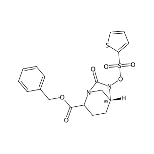 O=C(OCc1ccccc1)C1CC[C@@H]2CN1C(=O)N2OS(=O)(=O)c1cccs1